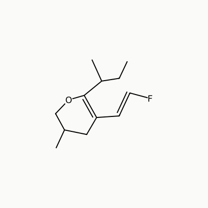 CCC(C)C1=C(/C=C/F)CC(C)CO1